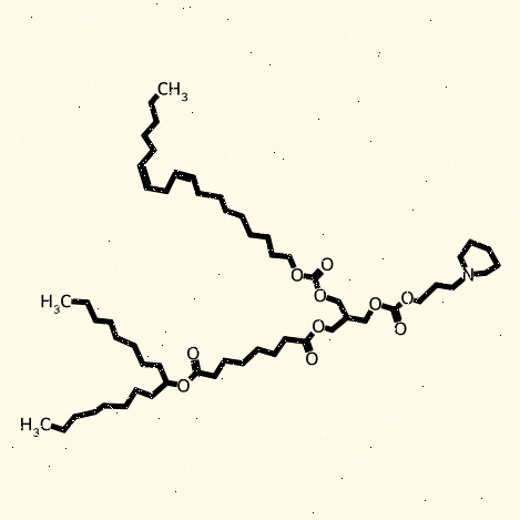 CCCCC/C=C\C/C=C\CCCCCCCCOC(=O)OCC(COC(=O)CCCCCCC(=O)OC(CCCCCCCC)CCCCCCCC)COC(=O)OCCCN1CCCCC1